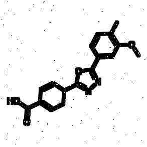 COc1cc(-c2nnc(C3C=CC(C(=O)O)=CC3)o2)ccc1C